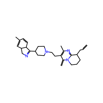 C=CCC1CCCN2C(=C)C(CCN3CCC(C4=NCC5C=C(C)C=CC45)CC3)=C(C)N=C12